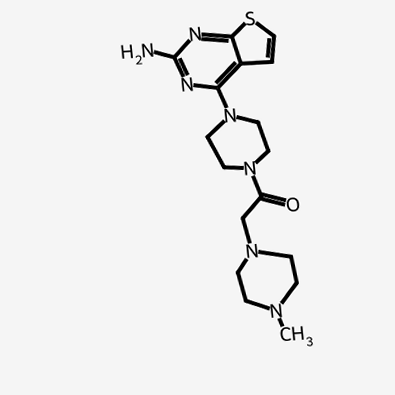 CN1CCN(CC(=O)N2CCN(c3nc(N)nc4sccc34)CC2)CC1